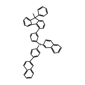 CC1(c2ccccc2)c2ccccc2-c2c(-c3cccc(N(c4ccc(-c5ccc6ccccc6c5)cc4)c4ccc5ccccc5c4)c3)cccc21